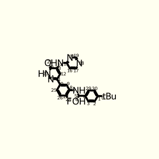 CC(C)(C)c1ccc(C(O)Nc2cc(-c3cc(Nc4ccncn4)c(=O)[nH]n3)ccc2F)cc1